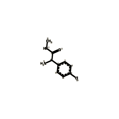 CNC(=O)C(N)c1ccc(Cl)cc1